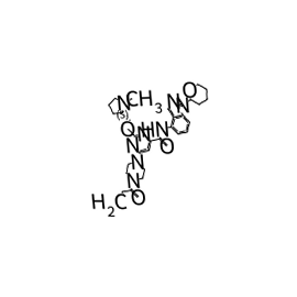 C=CC(=O)N1CCN(c2cc(C(=O)Nc3cccc4c3cnn4C3CCCCO3)nc(OC[C@@H]3CCCN3C)n2)CC1